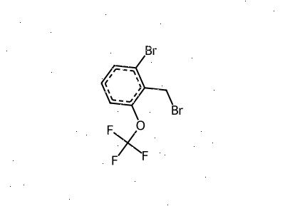 FC(F)(F)Oc1cccc(Br)c1CBr